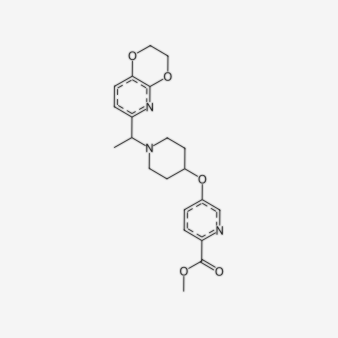 COC(=O)c1ccc(OC2CCN(C(C)c3ccc4c(n3)OCCO4)CC2)cn1